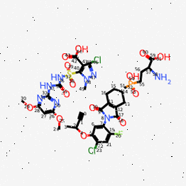 C#CC(C)Oc1cc(N2C(=O)C3=C(CCCC3)C2=O)c(F)cc1Cl.COc1cc(OC)nc(NC(=O)NS(=O)(=O)c2c(C(=O)O)c(Cl)nn2C)n1.CP(=O)(O)CCC(N)C(=O)O